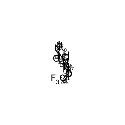 Cc1cn(C)nc1SNC(=O)c1ccc(-n2ccc(OCCC3(C(F)(F)F)CC3)n2)nc1Cl